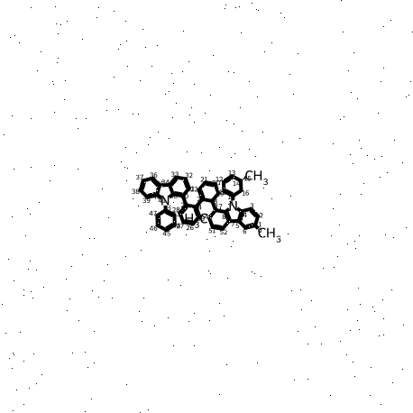 Cc1ccc2c(c1)c1c(n2C2=CC=C[C@H](C)C2)C(C2CC=CC=C2c2ccccc2-c2cccc3c4ccccc4n(-c4ccccc4)c23)C(C)C=C1